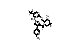 Cc1ccc(-c2cn(C)nc2C(=O)N2CC(F)(F)C[C@@H](C)C2CNc2ncc(C(F)(F)F)cn2)cn1